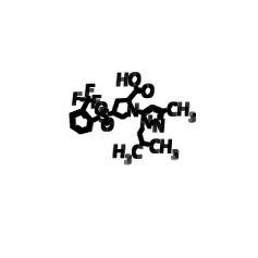 Cc1cc(N2CC(S(=O)(=O)c3ccccc3C(F)(F)F)CC2C(=O)O)n(CC(C)C)n1